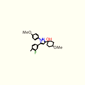 COc1ccc(-n2nc(C3(O)CCC(OC)CC3)cc2-c2ccc(C)c(F)c2)cc1